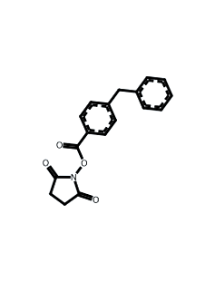 O=C(ON1C(=O)CCC1=O)c1ccc(Cc2ccccc2)cc1